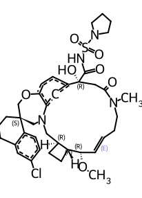 CO[C@H]1/C=C/CCN(C)C(=O)C[C@](O)(C(=O)NS(=O)(=O)N2CCCC2)c2ccc3c(c2)N(C[C@@H]2CC[C@H]21)C[C@@]1(CCCc2cc(Cl)ccc21)CO3